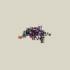 CN[C@@H](C)C(=O)N[C@H]1CN(C(=O)c2ccc(C(=O)C3Nc4ccccc4N(Cc4c(OC)ccc5cc(Br)ccc45)C(=O)[C@H]3NC(=O)[C@H](C)NC)cc2)c2ccccc2N(Cc2c(OC)ccc3cc(Br)ccc23)C1=O